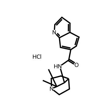 CC1(C)C(NC(=O)c2ccc3cccnc3c2)C2CCN1CC2.Cl